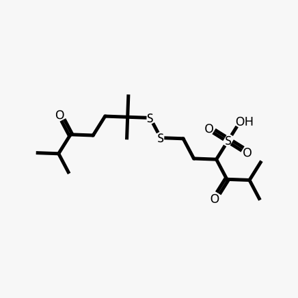 CC(C)C(=O)CCC(C)(C)SSCCC(C(=O)C(C)C)S(=O)(=O)O